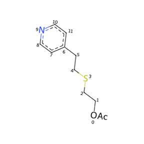 CC(=O)OCCSCCc1ccncc1